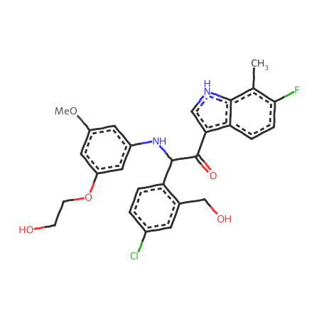 COc1cc(NC(C(=O)c2c[nH]c3c(C)c(F)ccc23)c2ccc(Cl)cc2CO)cc(OCCO)c1